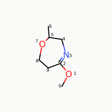 COC1=NCC(C)OCC1